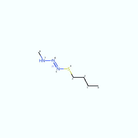 CCCCS/N=N/NC